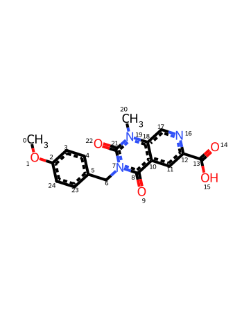 COc1ccc(Cn2c(=O)c3cc(C(=O)O)ncc3n(C)c2=O)cc1